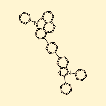 c1ccc(-c2nc3cc(-c4ccc(-c5ccc6c7c5ccc5cccc(c57)n6-c5ccccc5)cc4)ccc3n2-c2ccccc2)cc1